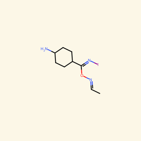 C/C=N/O/C(=N\I)C1CCC(N)CC1